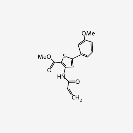 C=CC(=O)Nc1cc(-c2cccc(OC)c2)sc1C(=O)OC